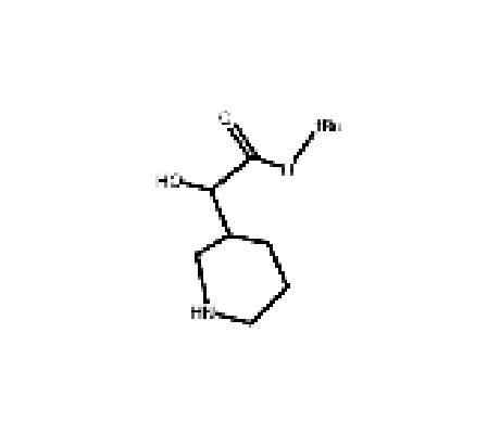 CC(C)(C)OC(=O)C(O)C1CCCNC1